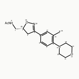 CC(=O)NC[C@H]1CC(c2ccc(N3CCOCC3)c(F)c2)=NO1